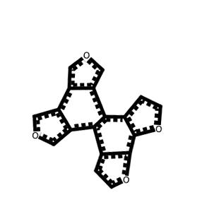 c1cc2c(o1)c1occc1c1c3cocc3c3cocc3c21